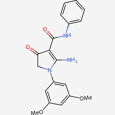 COc1cc(OC)cc(N2CC(=O)C(C(=O)Nc3ccccc3)=C2N)c1